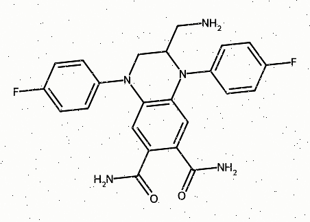 NCC1CN(c2ccc(F)cc2)c2cc(C(N)=O)c(C(N)=O)cc2N1c1ccc(F)cc1